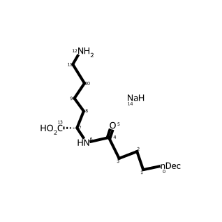 CCCCCCCCCCCCCC(=O)N[C@@H](CCCCN)C(=O)O.[NaH]